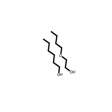 CCCCCCO.CCCCOCCO